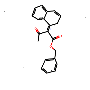 CC(=O)/C(C(=O)OCc1ccccc1)=C1/CC=Cc2ccccc21